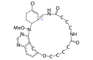 CON1c2ncnc3ccc(cc23)OCCCCC(=O)NCCCC(=O)N/C=C2\C=C(Cl)CCC21